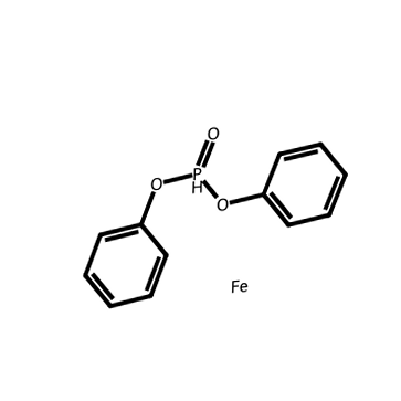 O=[PH](Oc1ccccc1)Oc1ccccc1.[Fe]